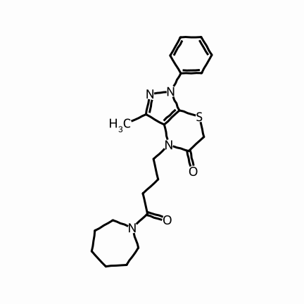 Cc1nn(-c2ccccc2)c2c1N(CCCC(=O)N1CCCCCC1)C(=O)CS2